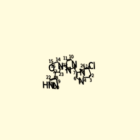 Clc1ccc2ncc(-c3nccc(N4CCOC(c5cn[nH]c5)C4)n3)n2c1